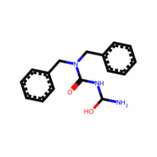 NC(O)NC(=O)N(Cc1ccccc1)Cc1ccccc1